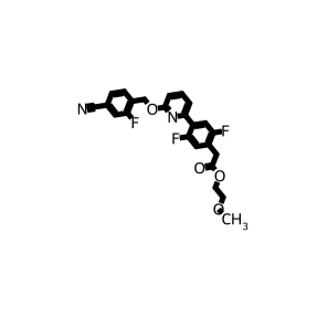 COCCOC(=O)Cc1cc(F)c(-c2cccc(OCc3ccc(C#N)cc3F)n2)cc1F